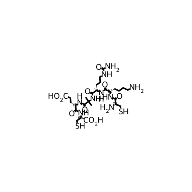 CC(C)(NC(=O)[C@H](CCCNC(N)=O)NC(=O)[C@H](CCCCN)NC(=O)[C@@H](N)CS)C(=O)N[C@@H](CCC(=O)O)C(=O)N[C@@H](CS)C(=O)O